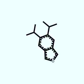 CC(C)c1cc2cocc2cc1C(C)C